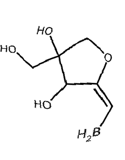 B/C=C1/OCC(O)(CO)C1O